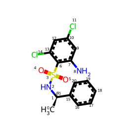 C[C@@H](NS(=O)(=O)c1c(N)cc(Cl)cc1Cl)c1ccccc1